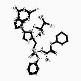 C#C[C@]1(CO[P@](=O)(N[C@@H](C)C(=O)OC2CCCCC2)Oc2ccccc2)OCC(n2cnc3c(N)nc(F)nc32)[C@@H]1OC(=O)C(C)C